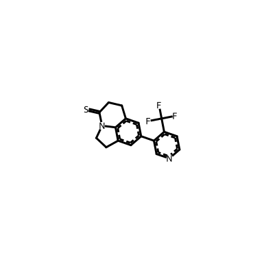 FC(F)(F)c1ccncc1-c1cc2c3c(c1)CCN3C(=S)CC2